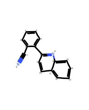 N#Cc1ccccc1-c1ccc2ccccc2n1